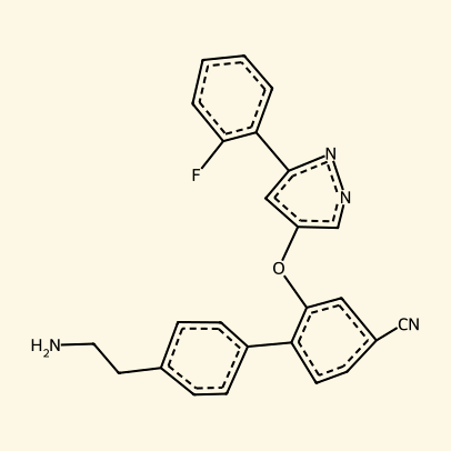 N#Cc1ccc(-c2ccc(CCN)cc2)c(Oc2cnnc(-c3ccccc3F)c2)c1